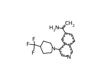 C=C(N)c1ccc2cncc(N3CCC(C(F)(F)F)CC3)c2c1